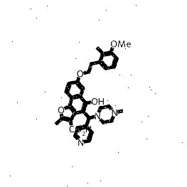 COc1cccc(CCOc2ccc3c(c2)c(O)c(C(c2ccncc2)N2CCN(C)CC2)c2c(C(=O)O)c(C)oc23)c1C